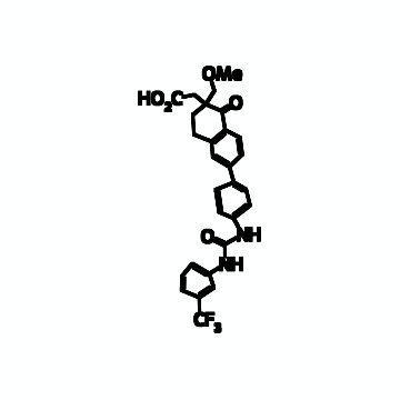 COCC1(CC(=O)O)CCc2cc(-c3ccc(NC(=O)Nc4cccc(C(F)(F)F)c4)cc3)ccc2C1=O